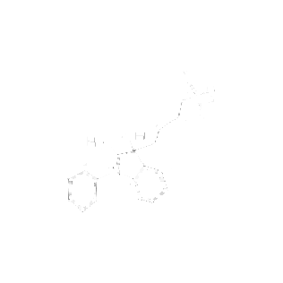 CC1=[N+](c2ccccc2)c2ccccc2C1(C)CCCCS(=O)(=O)[O-]